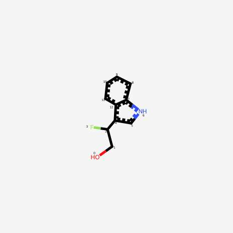 OCC(F)c1c[nH]c2ccccc12